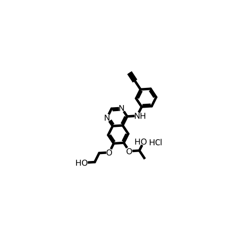 C#Cc1cccc(Nc2ncnc3cc(OCCO)c(OC(C)O)cc23)c1.Cl